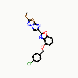 CSc1nn2cc(-c3nc4c(OCc5ccc(Cl)cc5)cccc4o3)nc2s1